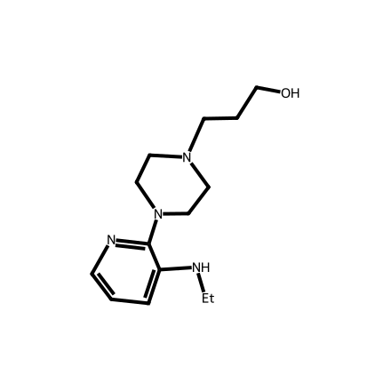 CCNc1cccnc1N1CCN(CCCO)CC1